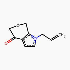 C=CCn1ccc2c1CCCC2=O